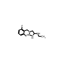 CCNC1CN(Cc2c(F)cccc2F)NN1